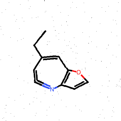 CCC1=Cc2occc2N=C=C1